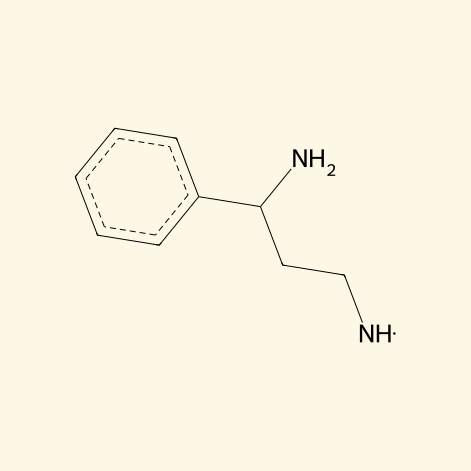 [NH]CCC(N)c1ccccc1